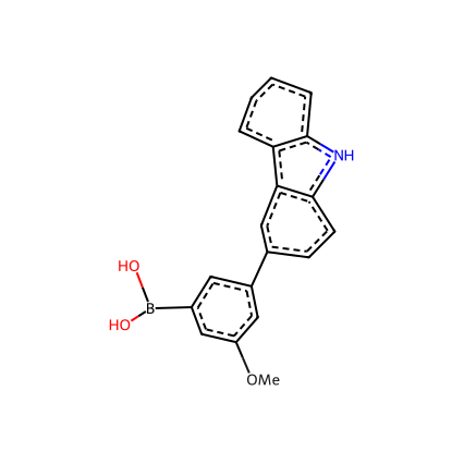 COc1cc(B(O)O)cc(-c2ccc3[nH]c4ccccc4c3c2)c1